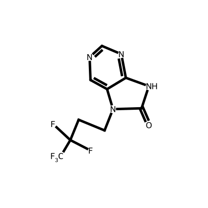 O=c1[nH]c2ncncc2n1CCC(F)(F)C(F)(F)F